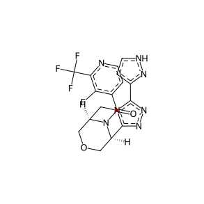 O=C(c1ccnc(C(F)(F)F)c1F)N1[C@H]2COC[C@@H]1c1nnc(-c3cc[nH]n3)n1C2